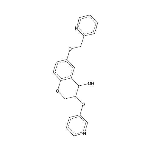 OC1c2cc(OCc3ccccn3)ccc2OCC1Oc1cccnc1